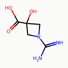 N=C(N)N1CC(O)(C(=O)O)C1